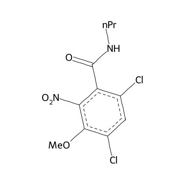 CCCNC(=O)c1c(Cl)cc(Cl)c(OC)c1[N+](=O)[O-]